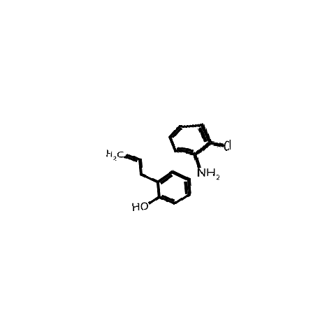 C=CCc1ccccc1O.Nc1ccccc1Cl